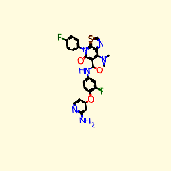 CN(C)c1c(C(=O)Nc2ccc(Oc3ccnc(N)c3)c(F)c2)c(=O)n(-c2ccc(F)cc2)c2scnc12